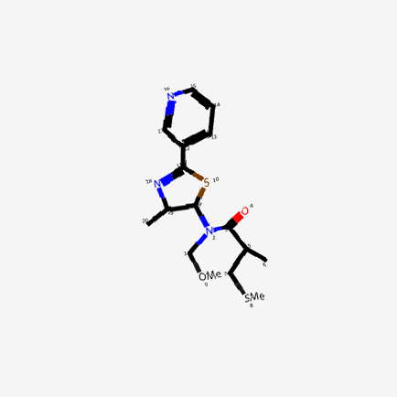 COCN(C(=O)C(C)CSC)C1SC(c2cccnc2)=NC1C